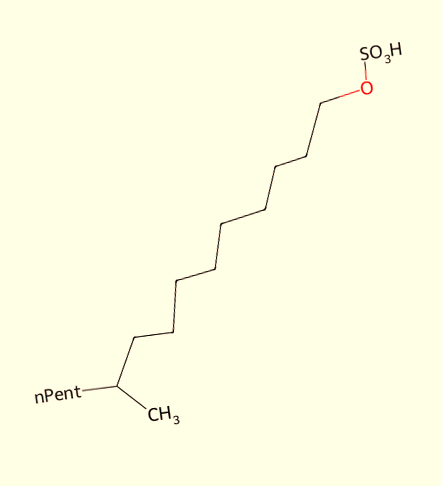 CCCCCC(C)CCCCCCCCCOS(=O)(=O)O